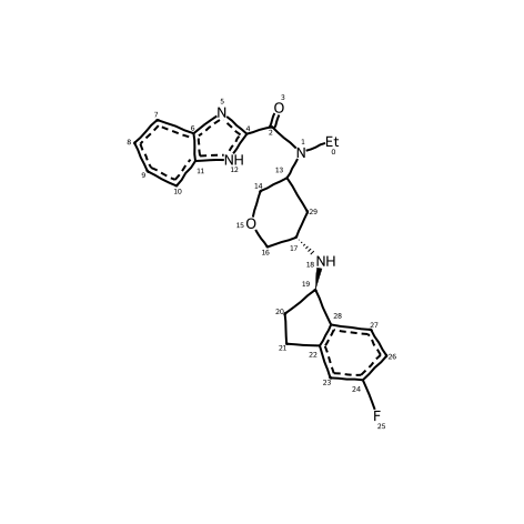 CCN(C(=O)c1nc2ccccc2[nH]1)C1COC[C@@H](N[C@@H]2CCc3cc(F)ccc32)C1